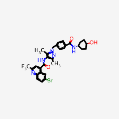 Cc1nn(Cc2ccc(C(=O)N[C@H]3CC[C@H](O)CC3)cc2)c(C)c1NC(=O)c1cc(C(F)(F)F)nc2ccc(Br)cc12